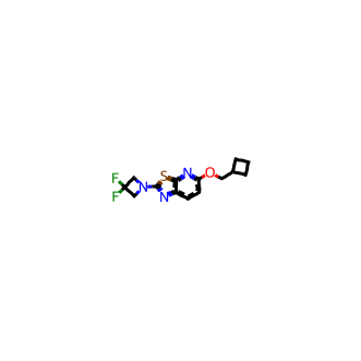 FC1(F)CN(c2nc3ccc(OCC4CCC4)nc3s2)C1